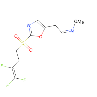 CO/N=C\Cc1cnc(S(=O)(=O)CCC(F)=C(F)F)o1